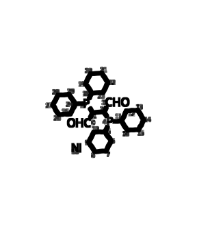 O=CC(C(C=O)P(C1CCCCC1)C1CCCCC1)P(C1CCCCC1)C1CCCCC1.[Ni]